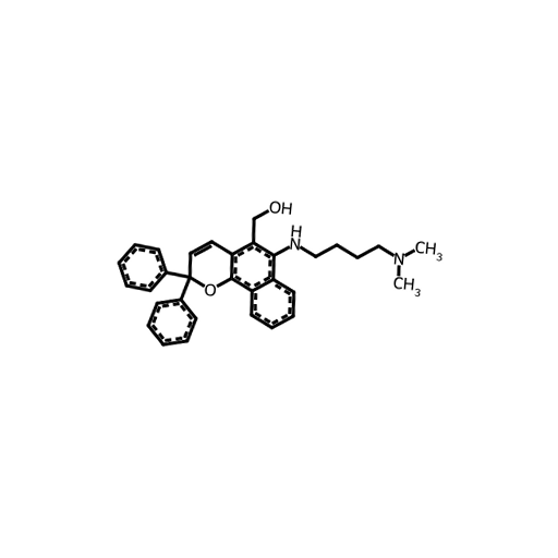 CN(C)CCCCNc1c(CO)c2c(c3ccccc13)OC(c1ccccc1)(c1ccccc1)C=C2